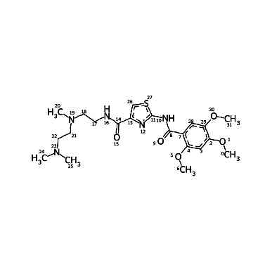 COc1cc(OC)c(C(=O)Nc2nc(C(=O)NCCN(C)CCN(C)C)cs2)cc1OC